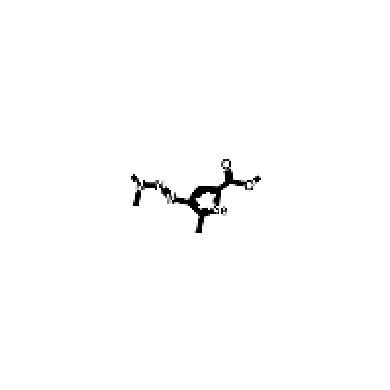 COC(=O)c1cc(N=NN(C)C)c(C)[se]1